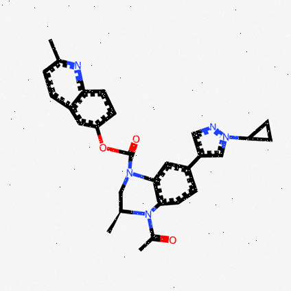 CC(=O)N1c2ccc(-c3cnn(C4CC4)c3)cc2N(C(=O)Oc2ccc3nc(C)ccc3c2)C[C@@H]1C